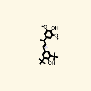 COc1cc(C(C)/C=C/c2cc(C(C)(C)C)c(O)c(C(C)(C)C)c2)cc(OC)c1O